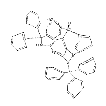 OCC[C@@H]1c2ccc(cc2)-n2c3c1cc(NC(c1ccccc1)(c1ccccc1)c1ccccc1)nc3n2C(c1ccccc1)(c1ccccc1)c1ccccc1